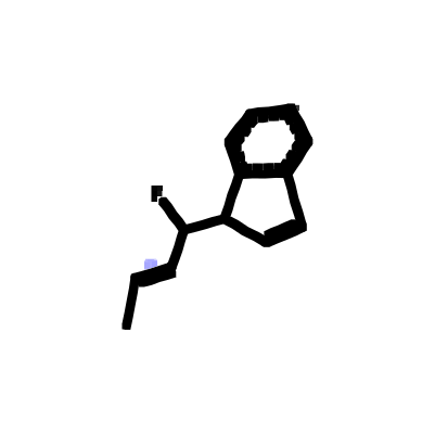 C/C=C/C(F)C1C=Cc2c[c]ccc21